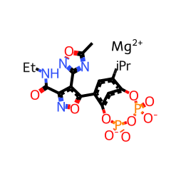 CCNC(=O)c1noc(-c2cc(C(C)C)c3cc2OP(=O)([O-])OP(=O)([O-])O3)c1-c1noc(C)n1.[Mg+2]